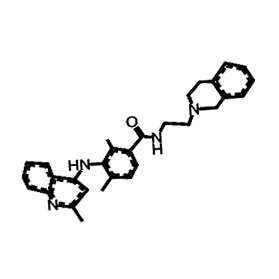 Cc1cc(Nc2c(C)ccc(C(=O)NCCN3CCc4ccccc4C3)c2C)c2ccccc2n1